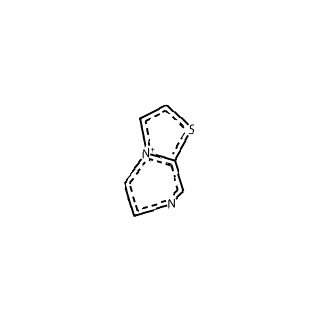 c1c[n+]2ccsc2cn1